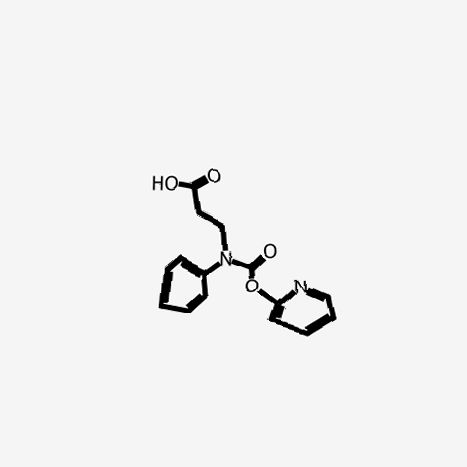 O=C(O)CCN(C(=O)Oc1ccccn1)c1ccccc1